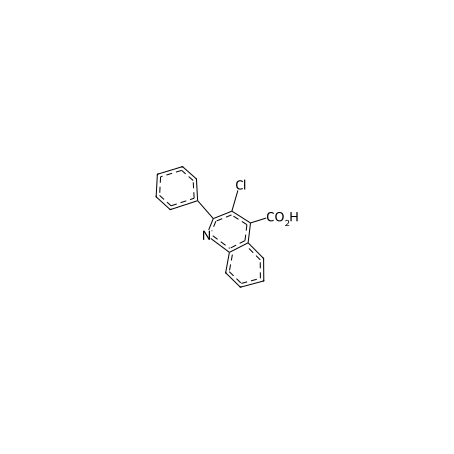 O=C(O)c1c(Cl)c(-c2ccccc2)nc2ccccc12